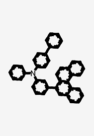 c1ccc(-c2ccc(N(c3ccccc3)c3cccc(-c4cc5ccccc5c5c4ccc4ccccc45)c3)cc2)cc1